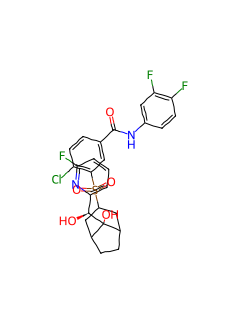 O=C(Nc1ccc(F)c(F)c1)c1ccc(Cl)c(S(=O)(=O)C2CC3CCC(C2)C3(O)[C@@H](O)c2cccc(F)n2)c1